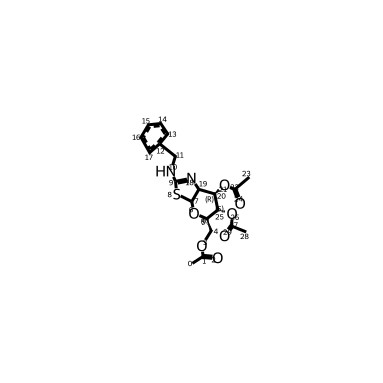 CC(=O)OC[C@H]1OC2SC(NCc3ccccc3)=NC2[C@@H](OC(C)=O)[C@@H]1OC(C)=O